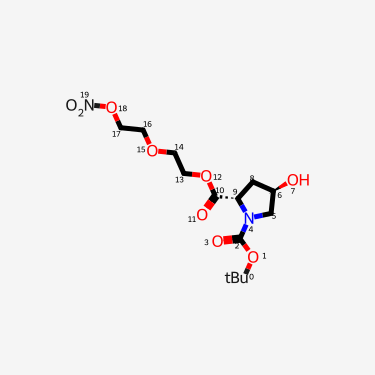 CC(C)(C)OC(=O)N1C[C@H](O)C[C@H]1C(=O)OCCOCCO[N+](=O)[O-]